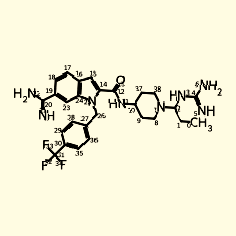 CCC(NC(=N)N)N1CCC(NC(=O)c2cc3ccc(C(=N)N)cc3n2Cc2ccc(C(F)(F)F)cc2)CC1